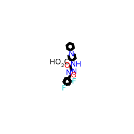 O=C(NC1CCN(C2CCCCC2)CC1C(=O)O)c1noc(-c2ccc(F)cc2F)n1